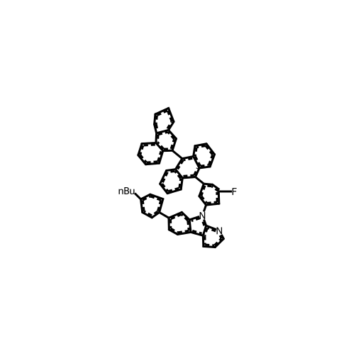 CCCCc1ccc(-c2ccc3c4cccnc4n(-c4cc(F)cc(-c5c6ccccc6c(-c6cc7ccccc7c7ccccc67)c6ccccc56)c4)c3c2)cc1